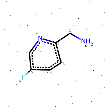 N[CH]c1ccc(F)cn1